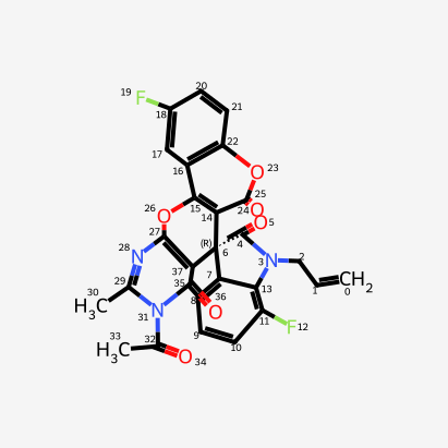 C=CCN1C(=O)[C@@]2(c3cccc(F)c31)c1c(c3cc(F)ccc3oc1=O)Oc1nc(C)n(C(C)=O)c(=O)c12